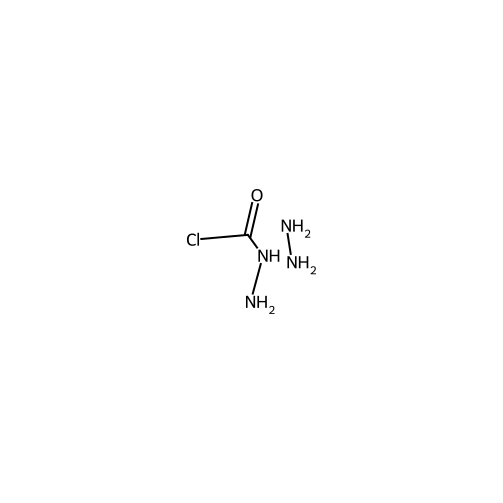 NN.NNC(=O)Cl